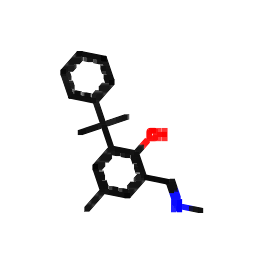 C/N=C/c1cc(C)cc(C(C)(C)c2ccccc2)c1O